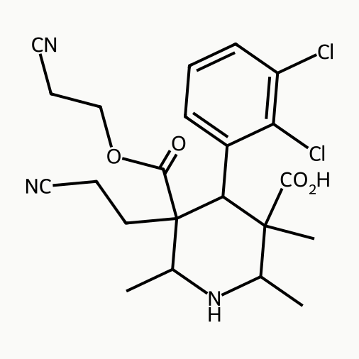 CC1NC(C)C(CCC#N)(C(=O)OCCC#N)C(c2cccc(Cl)c2Cl)C1(C)C(=O)O